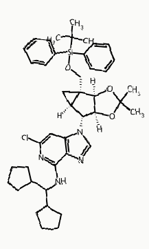 CC1(C)O[C@H]2[C@H](n3cnc4c(NC(C5CCCC5)C5CCCC5)nc(Cl)cc43)[C@H]3C[C@@]3(CO[Si](c3ccccc3)(c3ccccc3)C(C)(C)C)[C@H]2O1